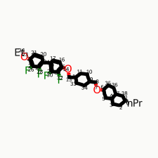 CCCC1CCC2CC(OCC3CCC(COc4ccc(-c5ccc(OCC)c(F)c5F)c(F)c4F)CC3)CCC2C1